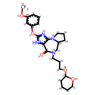 O=C1c2[nH]c(Oc3cccc(OC(F)(F)F)c3)nc2N2CCCC2CN1CCCOC1CCCCO1